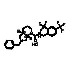 Cl.O=C(NCc1ccc(C(F)(F)F)cc1C(F)(F)F)N1CCC[C@H]2CN(Cc3ccccc3)C[C@H]21